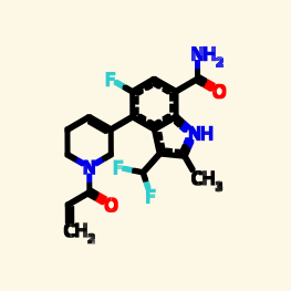 C=CC(=O)N1CCC=C(c2c(F)cc(C(N)=O)c3[nH]c(C)c(C(F)F)c23)C1